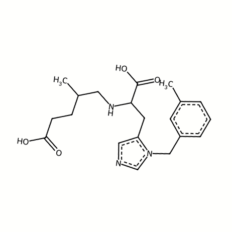 Cc1cccc(Cn2cncc2CC(NCC(C)CCC(=O)O)C(=O)O)c1